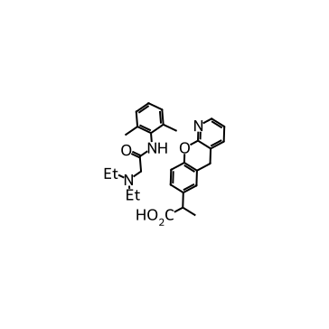 CC(C(=O)O)c1ccc2c(c1)Cc1cccnc1O2.CCN(CC)CC(=O)Nc1c(C)cccc1C